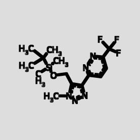 Cn1nnc(-c2ccc(C(F)(F)F)nn2)c1CO[Si](C)(C)C(C)(C)C